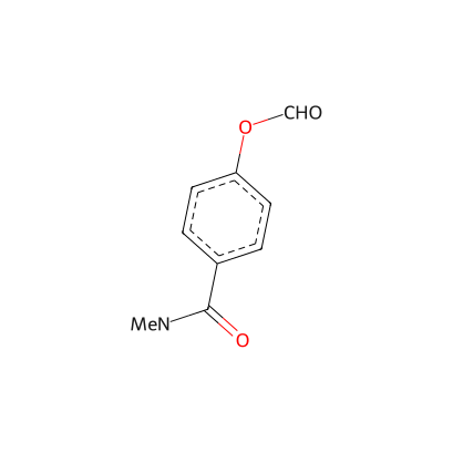 CNC(=O)c1ccc(OC=O)cc1